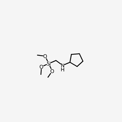 CO[Si](CNC1CCCC1)(OC)OC